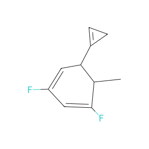 CC1C(F)=CC(F)=CC1C1=CC1